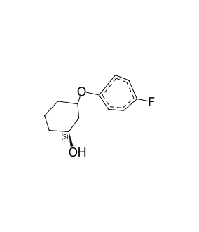 O[C@H]1CCCC(Oc2ccc(F)cc2)C1